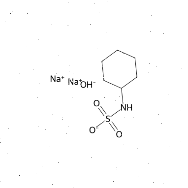 O=S(=O)([O-])NC1CCCCC1.[Na+].[Na+].[OH-]